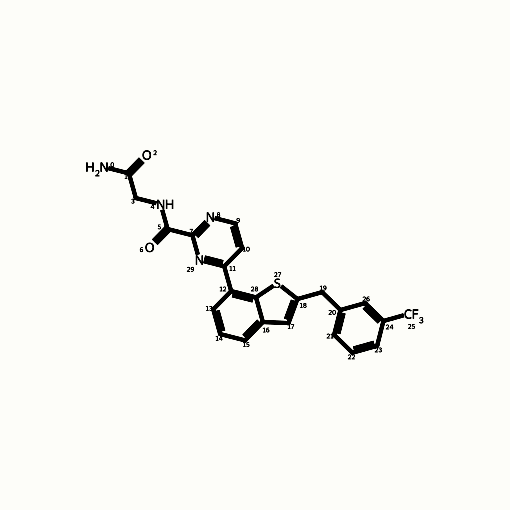 NC(=O)CNC(=O)c1nccc(-c2cccc3cc(Cc4cccc(C(F)(F)F)c4)sc23)n1